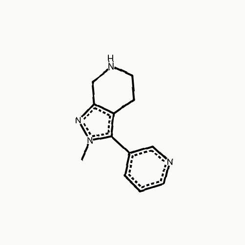 Cn1nc2c(c1-c1cccnc1)CCNC2